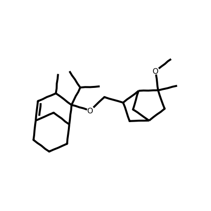 COC1(C)CC2CC(COC3(C(C)C)C(C)C=C4CCCC3C4)C1C2